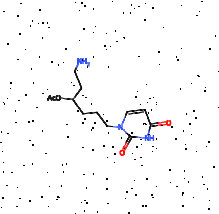 CC(=O)OC(CCN)CCCn1ccc(=O)[nH]c1=O